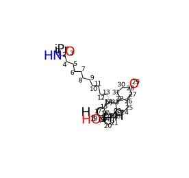 CC(C)NC(=O)CCCCCCCCCC[C@H]1C[C@]2(C)[C@@H](O)CC[C@H]2[C@@H]2CCC3=CC(=O)CCC3=C12